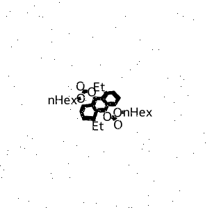 CCCCCCOC(=O)Oc1c2cccc(CC)c2c(OC(=O)OCCCCCC)c2cccc(CC)c12